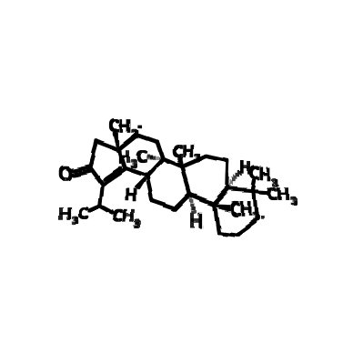 [CH2][C@@]12CC[C@]3(C)[C@H](CC[C@@H]4[C@@]5(C)CC[CH]C(C)(C)[C@@H]5CC[C@]43C)C1=C(C(C)C)C(=O)C2